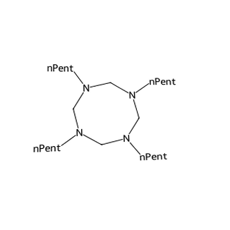 CCCCCN1CN(CCCCC)CN(CCCCC)CN(CCCCC)C1